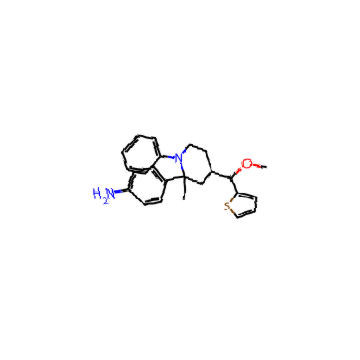 COC(c1cccs1)C1CCN(c2ccccc2)C(C)(c2ccc(N)cc2)C1